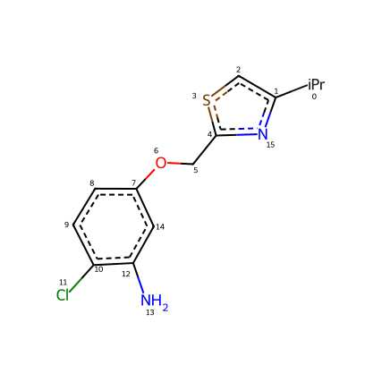 CC(C)c1csc(COc2ccc(Cl)c(N)c2)n1